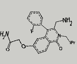 CC(C)Cn1c(CN)c(-c2ccccc2F)c2cc(OCC(N)=O)ccc2c1=O